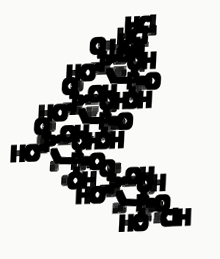 Cl.Cl.Cl.Cl.O=P(O)(O)CP(=O)(O)O.O=P(O)(O)CP(=O)(O)O.O=P(O)(O)CP(=O)(O)O.O=P(O)(O)CP(=O)(O)O